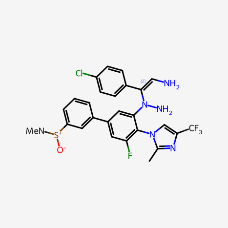 CN[S+]([O-])c1cccc(-c2cc(F)c(-n3cc(C(F)(F)F)nc3C)c(N(N)/C(=C\N)c3ccc(Cl)cc3)c2)c1